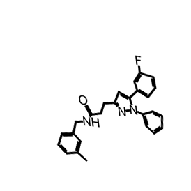 Cc1cccc(CNC(=O)CCc2cc(-c3cccc(F)c3)n(-c3ccccc3)n2)c1